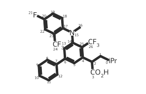 CC(C)CC(C(=O)O)c1cc(-c2ccccc2)cc(N(C)c2ccc(F)cc2C(F)(F)F)c1C(F)(F)F